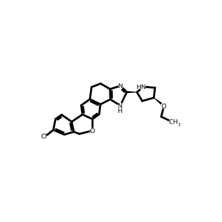 CCO[C@@H]1CN[C@H](c2nc3c([nH]2)-c2cc4c(cc2CC3)-c2ccc(Cl)cc2CO4)C1